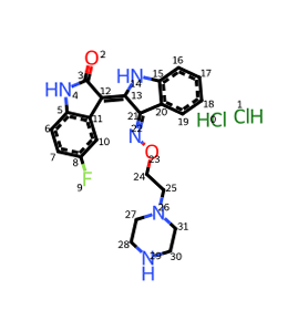 Cl.Cl.O=C1Nc2ccc(F)cc2/C1=C1/Nc2ccccc2/C1=N\OCCN1CCNCC1